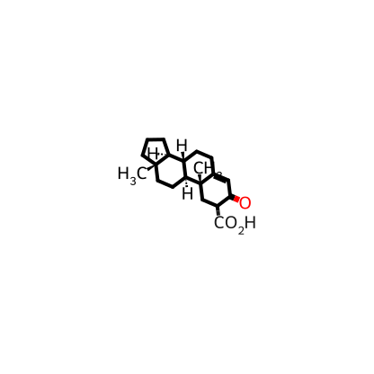 C[C@@]12CCC[C@H]1[C@@H]1CCC3=CC(=O)C(C(=O)O)C[C@]3(C)[C@H]1CC2